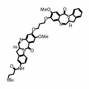 COc1cc2c(cc1OCCCOc1cc3c(cc1OC)C(=O)N1c4ccc(NC(=O)CCC(C)(C)C)cc4C[C@H]1C=N3)N=C[C@@H]1Cc3ccccc3N1C2=O